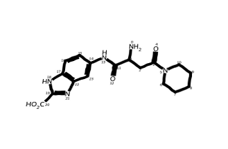 NC(CC(=O)N1CCCCC1)C(=O)Nc1ccc2[nH]c(C(=O)O)nc2c1